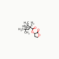 CCCCC(C)C(C)(CC(C)(C)CCC)C(=O)OC1CCOC1=O